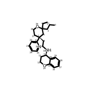 CCCC1(CC)C[C@](CCN[C@@H]2CCOc3ccccc32)(c2ccccn2)CCO1